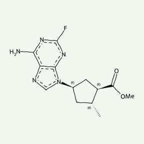 COC(=O)[C@@H]1C[C@H](n2cnc3c(N)nc(F)nc32)C[C@H]1C